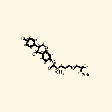 CN(CCCOCC(=O)OC(C)(C)C)C(=O)Oc1ccc2c(c1)OCC(c1ccc(F)cc1)C2=O